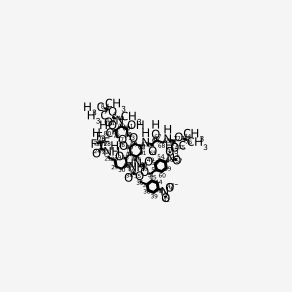 CN(C(=O)OC(C)(C)C)[C@@H]1[C@@H](O)[C@@H](O[C@@H]2[C@@H](O)[C@H](C3OC(CNC(=O)C(F)(F)F)=CC[C@H]3NC(=O)OCc3ccc([N+](=O)[O-])cc3)[C@@H](NC(=O)OCc3ccc([N+](=O)[O-])cc3)C[C@H]2NC(=O)[C@H](O)CNC(=O)OC(C)(C)C)OC[C@]1(C)O